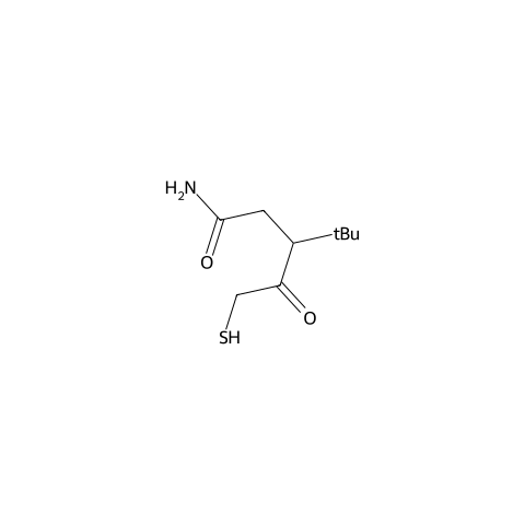 CC(C)(C)C(CC(N)=O)C(=O)CS